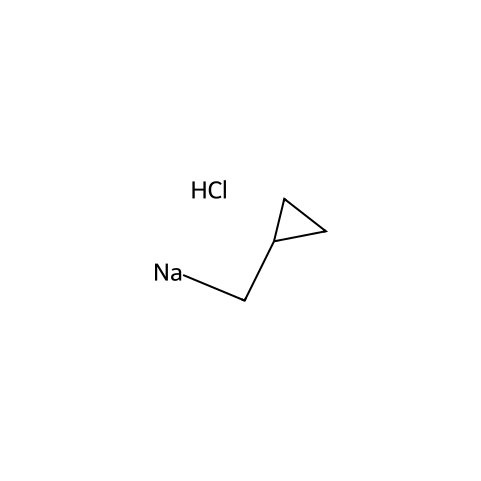 Cl.[Na][CH2]C1CC1